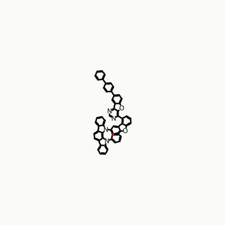 c1ccc(-c2ccc(-c3ccc4oc5c(-c6cccc7oc8ccc(-n9c%10ccccc%10c%10ccc%11c%12ccccc%12n(-c%12ccccc%12)c%11c%109)cc8c67)ncnc5c4c3)cc2)cc1